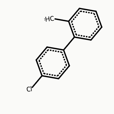 [CH]c1ccccc1-c1ccc(Cl)cc1